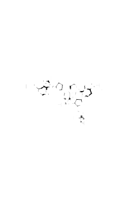 Nc1ccn([C@@H]2O[C@H](COP(=O)(O)O)[C@@H](OP(=O)(O)OC[C@H]3O[C@@H](n4cnc5c(N)ncnc54)[C@H](O)[C@@H]3OC(=O)CO)[C@H]2O)c(=O)n1